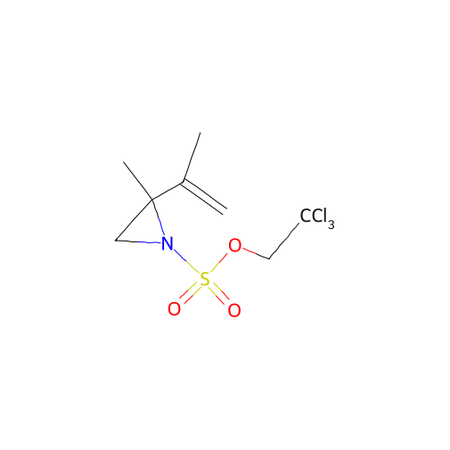 C=C(C)C1(C)CN1S(=O)(=O)OCC(Cl)(Cl)Cl